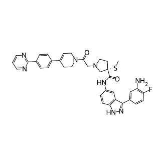 CS[C@@]1(C(=O)Nc2ccc3[nH]nc(-c4ccc(F)c(N)c4)c3c2)CCN(CC(=O)N2CC=C(c3ccc(-c4ncccn4)cc3)CC2)C1